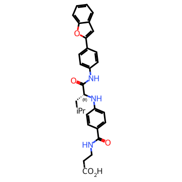 CC(C)C[C@@H](Nc1ccc(C(=O)NCCC(=O)O)cc1)C(=O)Nc1ccc(-c2cc3ccccc3o2)cc1